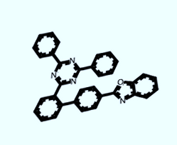 c1ccc(-c2nc(-c3ccccc3)nc(-c3ccccc3-c3ccc(-c4nc5ccccc5o4)cc3)n2)cc1